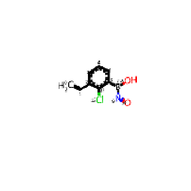 C=Cc1cccc(B(O)N=O)c1Cl